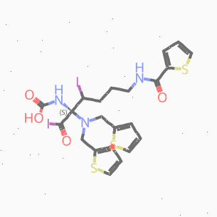 O=C(O)N[C@@](C(=O)I)(C(I)CCCNC(=O)c1cccs1)N(Cc1cccs1)Cc1cccs1